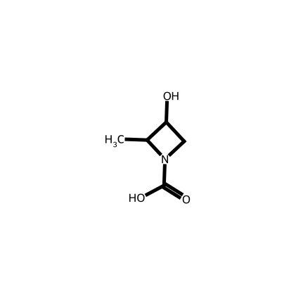 CC1C(O)CN1C(=O)O